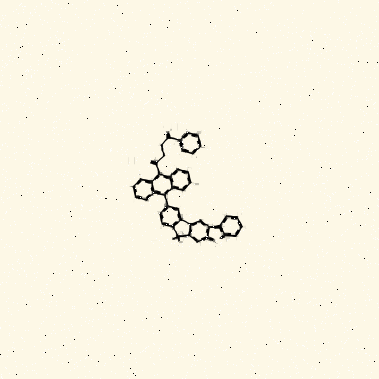 C=C(CCC(=C)c1c2ccccc2c(-c2ccc3c(c2)-c2cc4c(cc2C3(C)C)sc2ccccc24)c2ccccc12)c1ccccc1